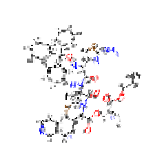 C/C=C(\COC(=O)C1=C(/C=C\c2cccnc2)CS[C@H]2[C@H](NC(=O)C(=NOC(c3ccccc3)(c3ccccc3)c3ccccc3)c3csc(N)n3)C(=O)N12)C(=O)OCCC(C)C